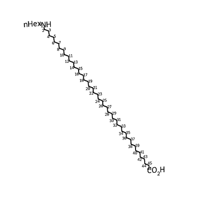 CCCCCCNCCCCCCCCCCCCCCCCCCCCCCCCCCCCCCCCCCCCCCCCCCCCC(=O)O